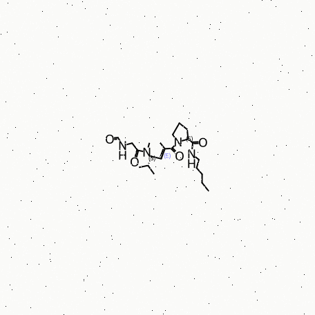 CCCCCNC(=O)[C@@H]1CCCN1C(=O)/C(C)=C/[C@H](C(C)C)N(C)C(=O)CNC=O